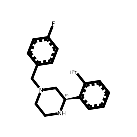 CC(C)c1ccccc1[C@@H]1CN(Cc2ccc(F)cc2)CCN1